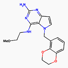 COCCNc1nc(N)nc2ccn(Cc3cccc4c3OCCO4)c12